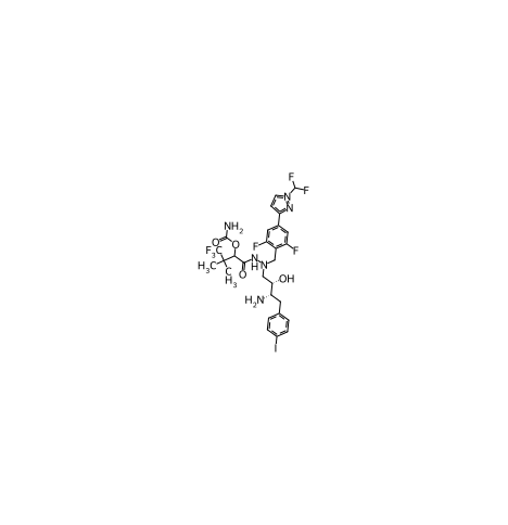 CC(C)(C(OC(N)=O)C(=O)NN(Cc1c(F)cc(-c2ccn(C(F)F)n2)cc1F)C[C@H](O)[C@@H](N)Cc1ccc(I)cc1)C(F)(F)F